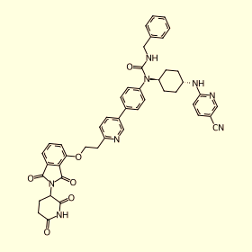 N#Cc1ccc(N[C@H]2CC[C@H](N(C(=O)NCc3ccccc3)c3ccc(-c4ccc(CCOc5cccc6c5C(=O)N(C5CCC(=O)NC5=O)C6=O)nc4)cc3)CC2)nc1